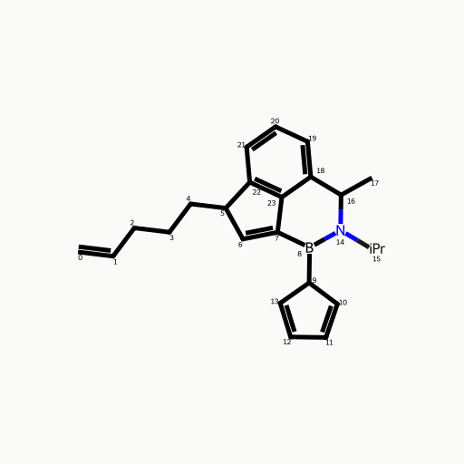 C=CCCCC1C=C2B(C3C=CC=C3)N(C(C)C)C(C)c3cccc1c32